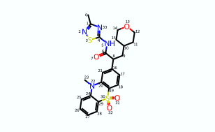 Cc1nsc(NC(=O)C(CC2CCOCC2)c2ccc3c(c2)N(C)c2ccccc2S3(=O)=O)n1